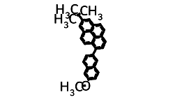 COc1ccc2cc(-c3ccc4ccc5cc(C(C)(C)C)cc6ccc3c4c56)ccc2c1